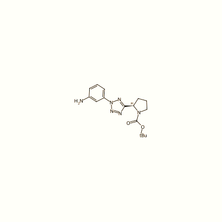 CC(C)(C)OC(=O)N1CCC[C@@H]1c1nnn(-c2cccc(N)c2)n1